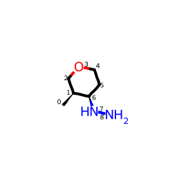 C[C@H]1COCC[C@H]1NN